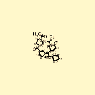 CC(=O)N1CCN(C(=O)c2ccn3nc(-c4ccccc4)c(-c4ccc(=O)n(C(C)C)n4)c3c2)CC1